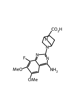 COc1cc2c(N)nc(N3CC4CCC3CN4C(=O)O)nc2c(F)c1OC